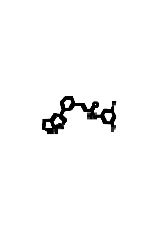 O=C(C=Cc1cccc(-c2cnc3[nH]ccc3c2)c1)Nc1cc(F)cc(F)c1